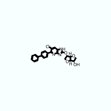 O[C@H]1CO[C@H]2[C@@H]1OC[C@@H]2Oc1nc2nc(-c3ccc(-c4ccccc4)cc3)c(Cl)cc2[nH]1